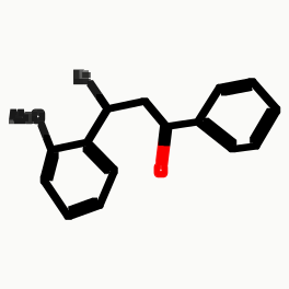 CCC(CC(=O)c1ccccc1)c1ccccc1OC